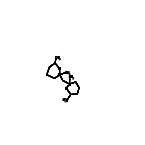 CC1CCC[Si](C)(C[Si]2(C)CCCC(C)O2)O1